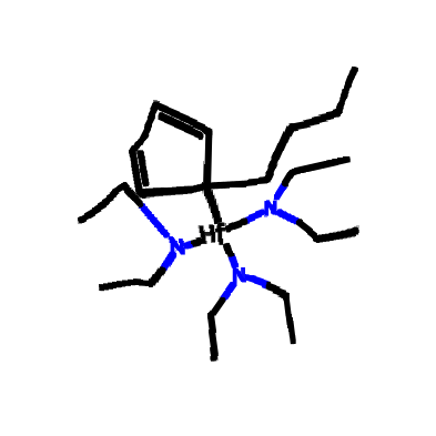 CCCC[C]1([Hf]([N](CC)CC)([N](CC)CC)[N](CC)CC)C=CC=C1